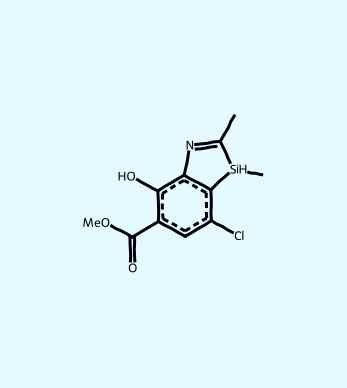 COC(=O)c1cc(Cl)c2c(c1O)N=C(C)[SiH]2C